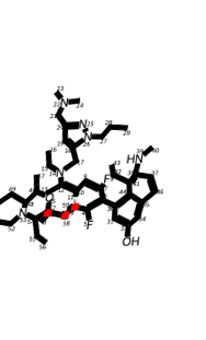 C=C(/N=C/C(F)=C(\C(F)=C/C(C)=C(/C)N(CC)Cc1cc(CN(C)C)nn1CCC)c1cc(O)cc2ccc(NC)c(CC)c12)OC(C)C1CCCCN1C(CC)CCC